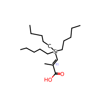 CCCCC[Si](/C=C(\C)C(=O)O)(CCCCC)CCCCC